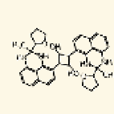 CC1(C2CCCO2)Nc2cccc3ccc(C4C(O)C(c5ccc6cccc7c6c5NC(C)(C5CCCO5)N7)C4O)c(c23)N1